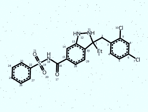 CCC1(Cc2ccc(Cl)cc2Cl)NNc2cc(C(=O)NS(=O)(=O)c3ccccc3)ccc21